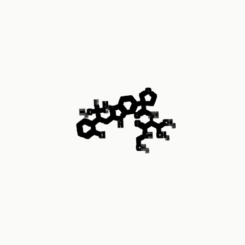 CCNC(=O)[C@H](NC(=O)C1(c2ccc3nc(CC(c4ccccc4Cl)C(C)(C)F)[nH]c3c2)CCOC1)C(C)C